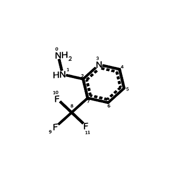 NNc1ncccc1C(F)(F)F